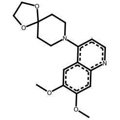 COc1cc2nc[c]c(N3CCC4(CC3)OCCO4)c2cc1OC